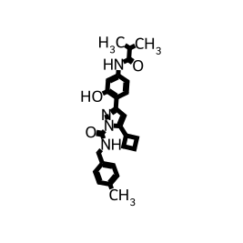 Cc1ccc(CNC(=O)n2nc(-c3ccc(NC(=O)C(C)C)cc3O)cc2C2CCC2)cc1